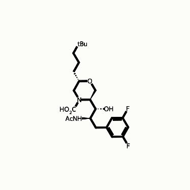 CC(=O)N[C@H](Cc1cc(F)cc(F)c1)[C@@H](O)[C@@H]1CO[C@@H](CCCC(C)(C)C)CN1C(=O)O